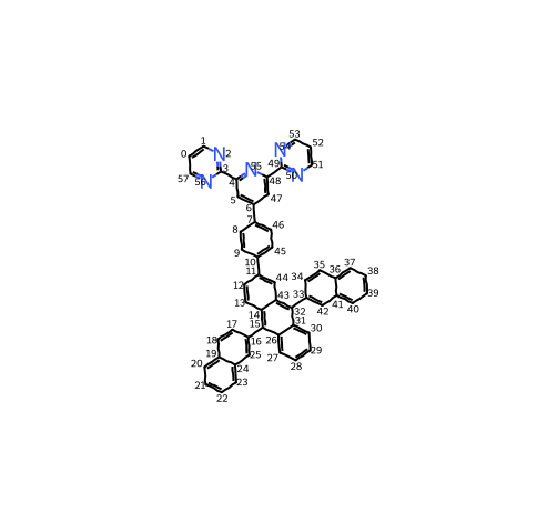 c1cnc(-c2cc(-c3ccc(-c4ccc5c(-c6ccc7ccccc7c6)c6ccccc6c(-c6ccc7ccccc7c6)c5c4)cc3)cc(-c3ncccn3)n2)nc1